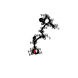 C[C@]12CNCCNC[C@](NC(=O)CCCC(=O)N[C@@H](Cc3ccc(O)cc3)C(=O)NCCCCCC(=O)N[C@@H](CSC3CC(=O)N(CCC(=O)NCCCCC4NC(=O)[C@@H](Cc5ccccc5)NC(=O)[C@@H](CC(=O)O)NC(=O)CNC(=O)[C@H](CCCNC(=N)N)NC4=O)C3=O)C(N)=O)(CNCCNC1)NCCN2